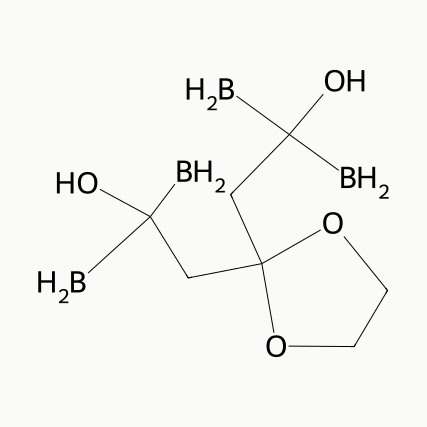 BC(B)(O)CC1(CC(B)(B)O)OCCO1